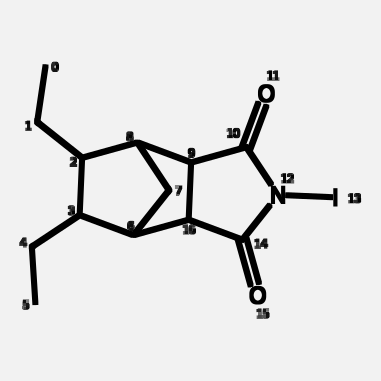 CCC1C(CC)C2CC1C1C(=O)N(I)C(=O)C21